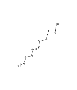 ICCCC=CCCCCI